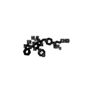 CCc1nc2ccccc2n1-c1nc(N2CCOCC2)c2nc(CN3CCC(N(C)CCC=O)CC3)n(C)c2n1